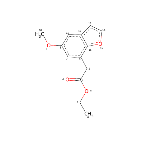 CCOC(=O)Cc1cc(OC)cc2ccoc12